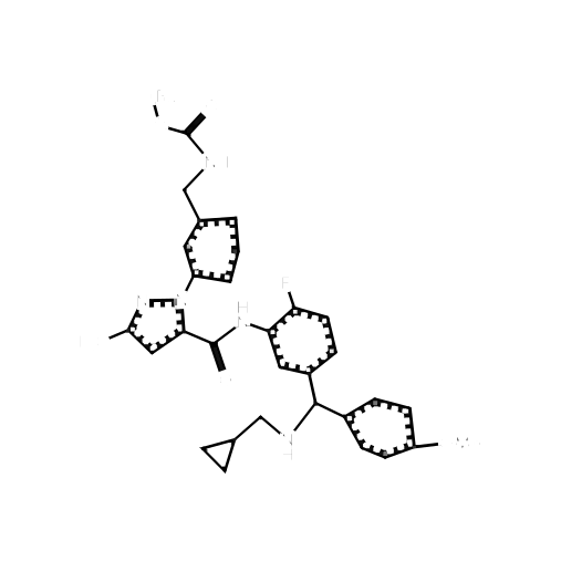 COc1ccc(C(NCC2CC2)c2ccc(F)c(NC(=O)c3cc(C(F)(F)F)nn3-c3cccc(CNC(=O)OC(C)(C)C)c3)c2)cc1